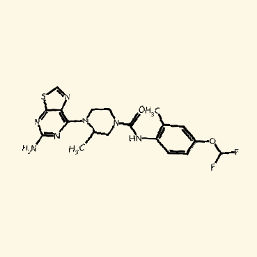 Cc1cc(OC(F)F)ccc1NC(=O)N1CCN(c2nc(N)nc3scnc23)C(C)C1